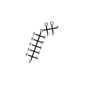 FC(F)(F)C(F)(F)C(F)(F)C(F)(F)C(F)(F)OC(F)(Cl)C(F)(F)Cl